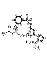 CC(C)C[C@@H]1COc2cc(-n3nccc3C(C)C)nc(n2)NS(=O)(=O)c2cccc(c2)N1